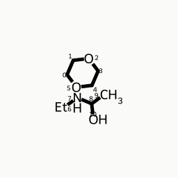 C1COCCO1.CCNC(C)O